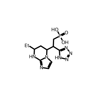 CCC1CC(C(CP(=O)(O)O)c2nnn[nH]2)n2ccnc2N1